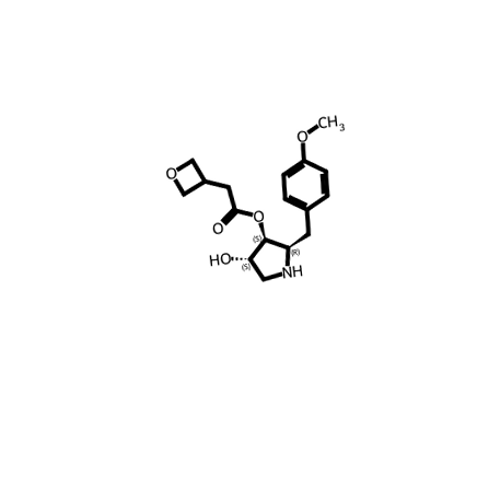 COc1ccc(C[C@H]2NC[C@H](O)[C@H]2OC(=O)CC2COC2)cc1